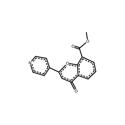 COC(=O)c1cccc2c(=O)cc(-c3ccncc3)oc12